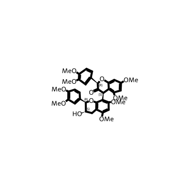 COc1cc(OC)c2c(c1)O[C@H](c1ccc(OC)c(OC)c1)C(=O)[C@@H]2c1c(OC)cc(OC)c2c1O[C@H](c1ccc(OC)c(OC)c1)[C@@H](O)C2